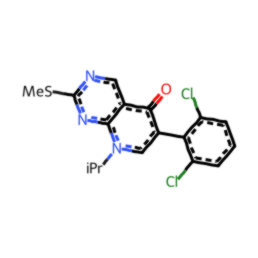 CSc1ncc2c(=O)c(-c3c(Cl)cccc3Cl)cn(C(C)C)c2n1